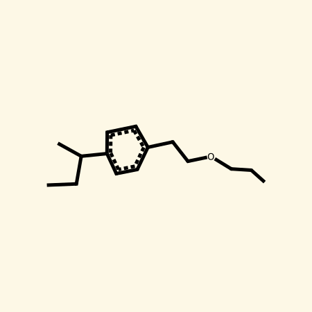 CCCOCCc1ccc(C(C)CC)cc1